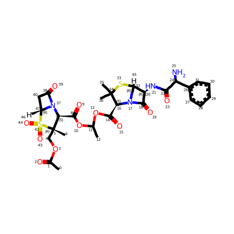 CC(=O)OC[C@@]1(C)[C@H](C(=O)OC(C)OC(=O)[C@@H]2N3C(=O)[C@@H](NC(=O)C(N)c4ccccc4)[C@H]3SC2(C)C)N2C(=O)C[C@H]2S1(=O)=O